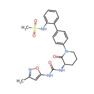 Cc1cc(NC(=O)N[C@@H]2CCCN(c3ccc(-c4ccccc4NS(C)(=O)=O)cc3)C2=O)on1